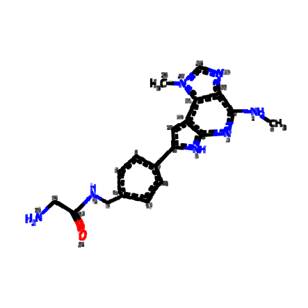 CNc1nc2[nH]c(-c3ccc(CNC(=O)CN)cc3)cc2c2c1ncn2C